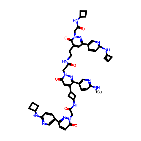 CC(C)(C)Nc1ccc(-c2nn(CC(=O)NCCc3cc(-c4ccc(NC56CC(C5)C6)nc4)nn(CC(=O)NC4CCC4)c3=O)c(=O)cc2C2CC(NC(=O)Cn3nc(-c4ccc(NC5CCC5)nc4)ccc3=O)C2)cn1